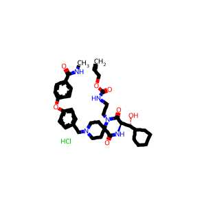 C=CCOC(=O)NCCN1C(=O)[C@@H]([C@H](O)C2CCCCC2)NC(=O)C12CCN(Cc1ccc(Oc3ccc(C(=O)NC)cc3)cc1)CC2.Cl